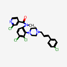 CN(C(=O)c1ccnc(Cl)c1)c1ccc(Cl)c(Cl)c1N1CCN(C/C=C/c2ccc(Cl)cc2)CC1